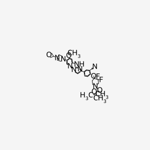 COc1cc(Nc2nccc(-c3ccc(OC4CCN(C(=O)OC(C)(C)C)CC4(F)F)c(C#N)c3)n2)ncc1N1CCN(C2COC2)CC1